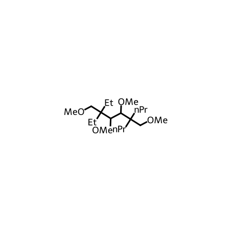 CCCC(CCC)(COC)C(OC)C(OC)C(CC)(CC)COC